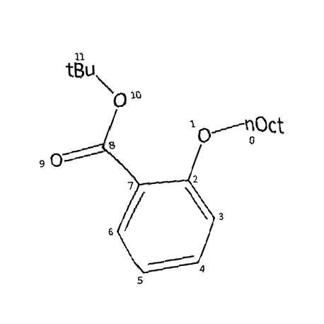 CCCCCCCCOc1ccccc1C(=O)OC(C)(C)C